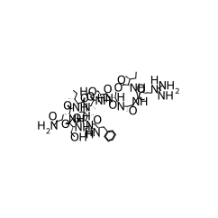 CC[C@@H](C)[C@@H](NC(=O)[C@@H](CCC(N)=O)NC(=O)[C@H](CO)NC(=O)[C@@H](NC(=O)[C@@H](Cc1ccccc1)NC)[C@@H](C)CC)C(=O)N[C@@H](C)C(=O)N[C@@H](CO)C(=O)N[C@H]1C(=O)N[C@@H](C)C(=O)N[C@@H](CCCNC(=N)N)C(=O)N[C@@H]([C@@H](C)CC)C(=O)O[C@H]1C